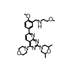 COCCNCc1cc(-c2ccc3c(N4CCOCC4)nc(N4CC(C)OC(C)C4)nc3n2)ccc1OC